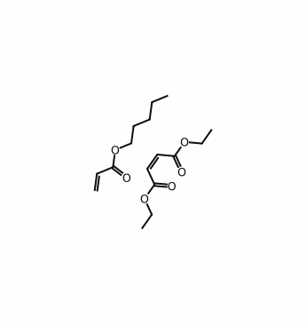 C=CC(=O)OCCCCC.CCOC(=O)/C=C\C(=O)OCC